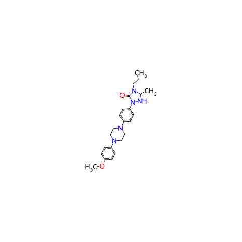 CCCN1C(=O)N(c2ccc(N3CCN(c4ccc(OC)cc4)CC3)cc2)NC1C